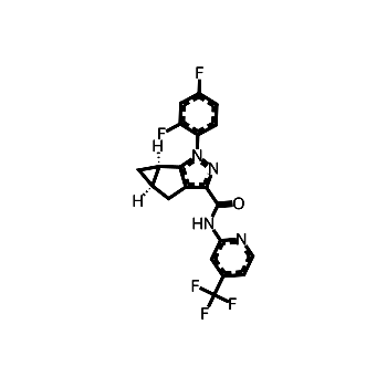 O=C(Nc1cc(C(F)(F)F)ccn1)c1nn(-c2ccc(F)cc2F)c2c1C[C@H]1C[C@@H]21